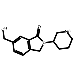 O=C1c2cc(CO)ccc2CN1C1CCCNC1